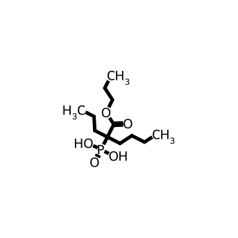 CCCCC(CCC)(C(=O)OCCC)P(=O)(O)O